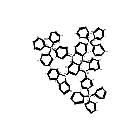 c1ccc([Si](c2ccccc2)(c2ccccc2)c2ccc(N3c4ccccc4B4c5cc([Si](c6ccccc6)(c6ccccc6)c6ccccc6)ccc5N(c5ccc([Si](c6ccccc6)(c6ccccc6)c6ccccc6)cc5)c5cc(-n6c7ccccc7c7ccccc76)cc3c54)cc2)cc1